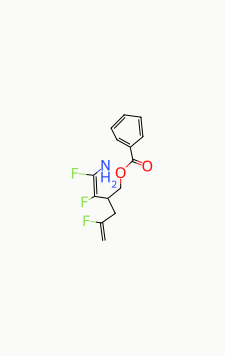 C=C(F)CC(COC(=O)c1ccccc1)/C(F)=C(\N)F